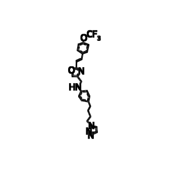 FC(F)(F)Oc1ccc(C=Cc2nc(CNc3ccc(CCCCn4ccnn4)cc3)co2)cc1